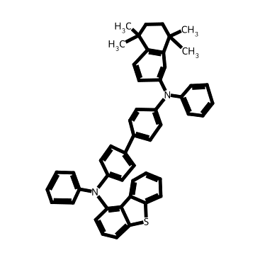 CC1(C)CCC(C)(C)c2cc(N(c3ccccc3)c3ccc(-c4ccc(N(c5ccccc5)c5cccc6sc7ccccc7c56)cc4)cc3)ccc21